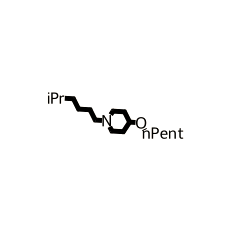 CCCCCOC1CCN(CCCCC(C)C)CC1